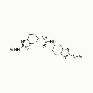 CC(=O)Nc1nc2c(s1)CC(NC(=O)N[C@H]1CCc3nc(NC(C)=O)sc3C1)CC2